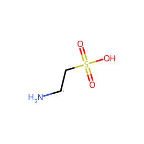 N[CH]CS(=O)(=O)O